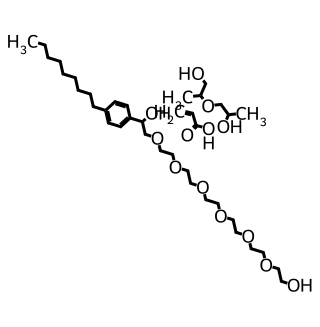 C=CC(=O)O.CC(O)COC(C)CO.CCCCCCCCCc1ccc(C(O)COCCOCCOCCOCCOCCOCCO)cc1